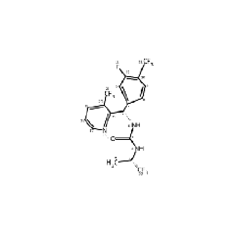 C[C@H](NC(=O)N[C@@H](c1ccc(C(F)(F)F)c(F)c1)c1ncccc1C(F)(F)F)C(F)(F)F